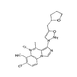 Cc1c2c(N3C=C(CC4CCCO4)ON3)ncn2c2ccc(Cl)c(C#N)c2[n+]1[O-]